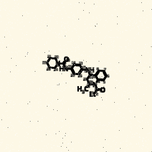 CCC(=O)N1c2ccccc2[C@H](Nc2ccc(NC(=O)N3CCCCC3)cc2)C[C@@H]1C